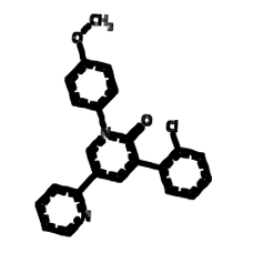 COc1ccc(-n2cc(-c3ccccn3)cc(-c3ccccc3Cl)c2=O)cc1